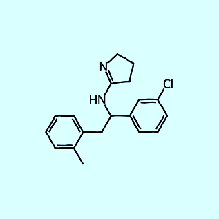 Cc1ccccc1CC(NC1=NCCC1)c1cccc(Cl)c1